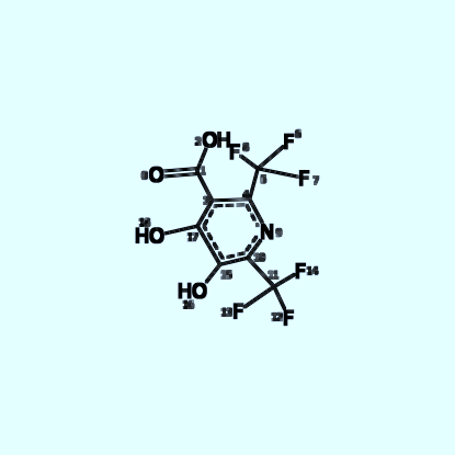 O=C(O)c1c(C(F)(F)F)nc(C(F)(F)F)c(O)c1O